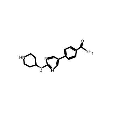 NC(=O)c1ccc(-c2cnc(NC3CCNCC3)nc2)cc1